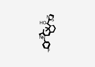 Cc1cnn(-c2ccc(F)cc2)c1/C=C1/CCC[C@H]([C@@H](O)c2nccs2)C1(C)C